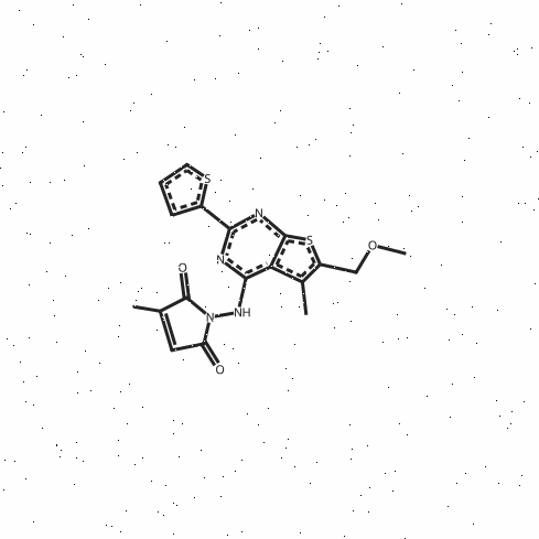 COCc1sc2nc(-c3cccs3)nc(NN3C(=O)C=C(C)C3=O)c2c1C